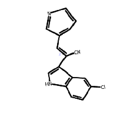 N#C/C(=C\c1cccnc1)c1c[nH]c2ccc(Cl)cc12